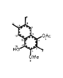 COc1c(C)c(OC(C)=O)c2cc(C)c(C)cc2c1O